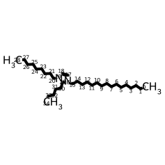 CCCCCCCCCCCCCCCCN1C=CN(CCCCCCCCC)C1CCCCC